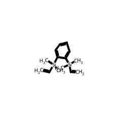 C=C[Si](C)(C)c1ccccc1[Si](C)(C)C=C